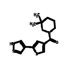 CC1(C)CCCN(C(=O)c2csc(-c3cn[nH]c3)c2)C1